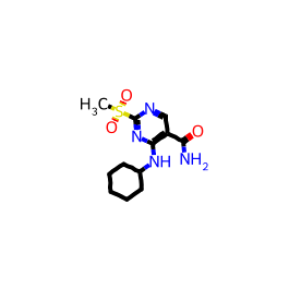 CS(=O)(=O)c1ncc(C(N)=O)c(NC2CCCCC2)n1